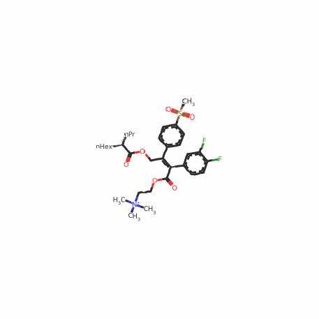 CCCCCC[C@@H](CCC)C(=O)OC/C(=C(\C(=O)OCC[N+](C)(C)C)c1ccc(F)c(F)c1)c1ccc(S(C)(=O)=O)cc1